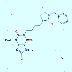 CCCCCn1c(=O)n(CCCCC2CCN(Cc3ccccc3)C2=O)c(=O)c2[nH]c(Cl)nc21